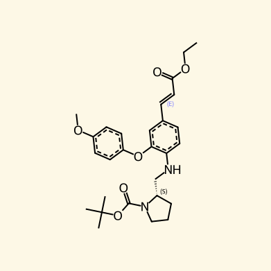 CCOC(=O)/C=C/c1ccc(NC[C@@H]2CCCN2C(=O)OC(C)(C)C)c(Oc2ccc(OC)cc2)c1